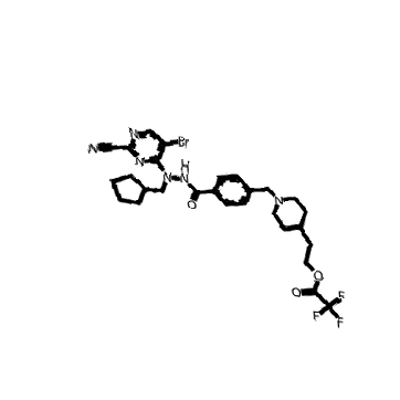 N#Cc1ncc(Br)c(N(CC2CCCC2)NC(=O)c2ccc(CN3CCC(CCOC(=O)C(F)(F)F)CC3)cc2)n1